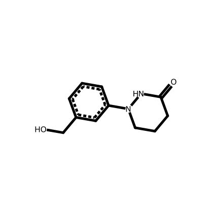 O=C1CCCN(c2cccc(CO)c2)N1